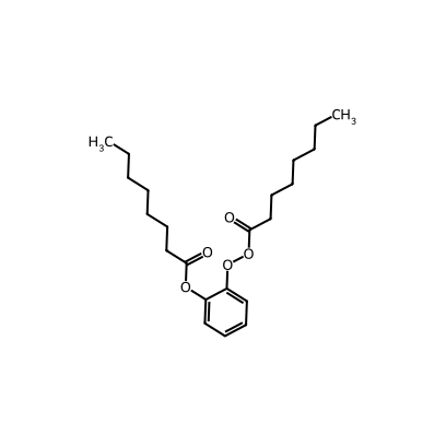 CCCCCCCC(=O)OOc1ccccc1OC(=O)CCCCCCC